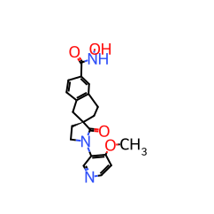 COc1ccncc1N1CC[C@@]2(CCc3cc(C(=O)NO)ccc3C2)C1=O